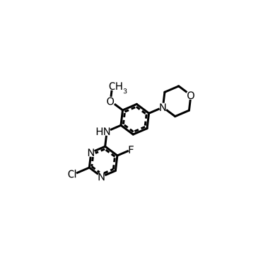 COc1cc(N2CCOCC2)ccc1Nc1nc(Cl)ncc1F